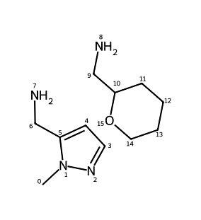 Cn1nccc1CN.NCC1CCCCO1